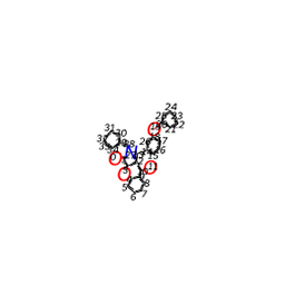 O=C1c2oc3ccccc3c(=O)c2C(c2cccc(Oc3ccccc3)c2)N1Cc1ccccc1